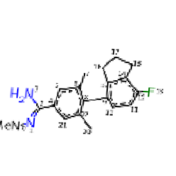 CN/N=C(\N)c1cc(C)c(-c2ccc(F)c3c2CCC3)c(C)c1